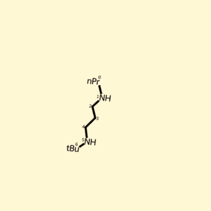 CCCNCCCNC(C)(C)C